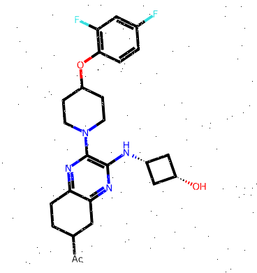 CC(=O)C1CCc2nc(N3CCC(Oc4ccc(F)cc4F)CC3)c(N[C@H]3C[C@@H](O)C3)nc2C1